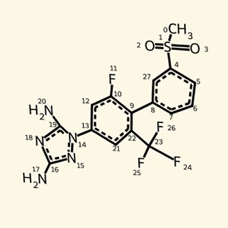 CS(=O)(=O)c1cccc(-c2c(F)cc(-n3nc(N)nc3N)cc2C(F)(F)F)c1